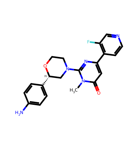 Cn1c(N2CCO[C@@H](c3ccc(N)cc3)C2)nc(-c2ccncc2F)cc1=O